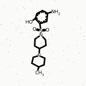 CC1CCN(C2CCN(S(=O)(=O)c3cc(N)ccc3O)CC2)CC1